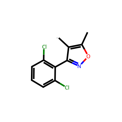 [CH2]c1c(-c2c(Cl)cccc2Cl)noc1C